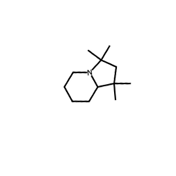 CC1(C)CC(C)(C)N2CCCCC21